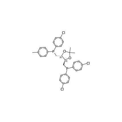 Cc1ccc(P(C[C@@H]2OC(C)(C)O[C@H]2CP(c2ccc(Cl)cc2)c2ccc(Cl)cc2)c2ccc(Cl)cc2)cc1